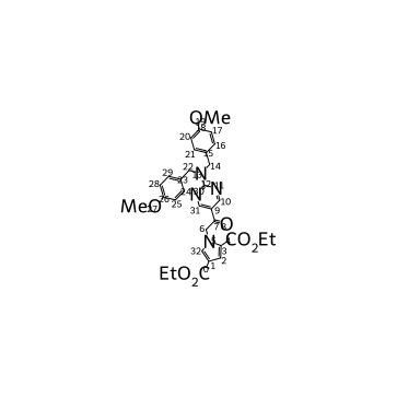 CCOC(=O)c1cc(C(=O)OCC)n(CC(=O)c2cnc(N(Cc3ccc(OC)cc3)Cc3ccc(OC)cc3)nc2)c1